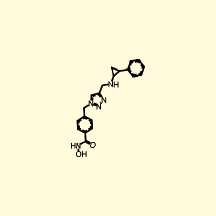 O=C(NO)c1ccc(Cn2cc(CNC3CC3c3ccccc3)nn2)cc1